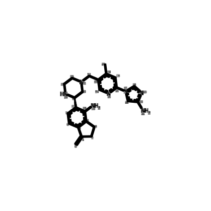 C=C1CCc2c1ccc([C@@H]1CN(Cc3cnc(-n4cnc(N)c4)cc3C)CCN1)c2N